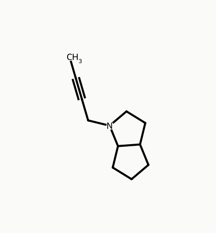 CC#CCN1CCC2CCCC21